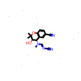 CN(C=NC#N)[C@H]1c2cc(C#N)ccc2OC(C)(C)[C@@H]1O